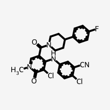 Cn1cc(C(=O)N2CCC(c3ccc(F)cc3)CC2)c(Nc2ccc(Cl)c(C#N)c2)c(Cl)c1=O